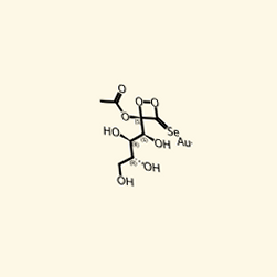 CC(=O)O[C@@]1([C@@H](O)[C@H](O)[C@H](O)CO)OOC1=[Se].[Au]